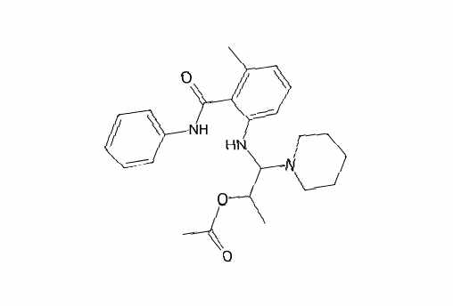 CC(=O)OC(C)C(Nc1cccc(C)c1C(=O)Nc1ccccc1)N1CCCCC1